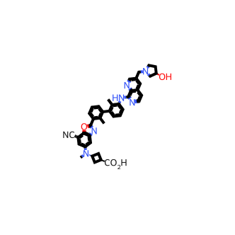 Cc1c(Nc2nccc3cc(CN4CC[C@@H](O)C4)cnc23)cccc1-c1cccc(-c2nc3cc(N(C)[C@H]4C[C@H](C(=O)O)C4)cc(C#N)c3o2)c1C